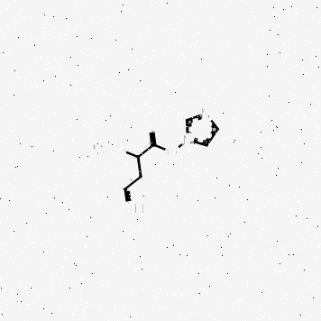 C=CCC(OC)C(=O)On1ccnc1